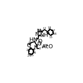 CN1C(=O)[C@@H](NC(=O)c2nnc(Cc3ccccc3)[nH]2)COc2ccccc21.COC(C)=O